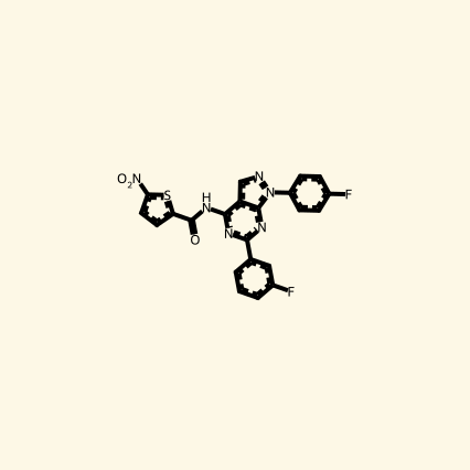 O=C(Nc1nc(-c2cccc(F)c2)nc2c1cnn2-c1ccc(F)cc1)c1ccc([N+](=O)[O-])s1